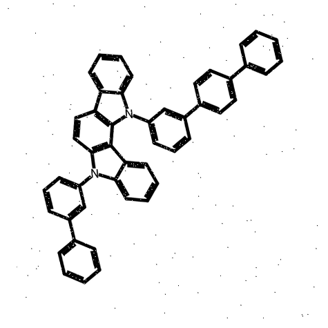 c1ccc(-c2ccc(-c3cccc(-n4c5ccccc5c5ccc6c(c7ccccc7n6-c6cccc(-c7ccccc7)c6)c54)c3)cc2)cc1